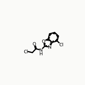 O=C(CCl)Nc1nc2c(Cl)cccc2o1